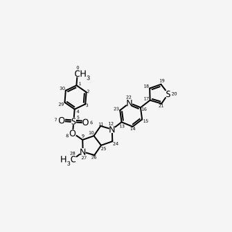 Cc1ccc(S(=O)(=O)OC2C3CN(c4ccc(-c5ccsc5)nc4)CC3CN2C)cc1